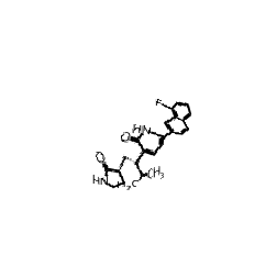 CC(C)[C@H](C[C@H]1CCNC1=O)c1ccc(-c2ccc3cccc(F)c3c2)[nH]c1=O